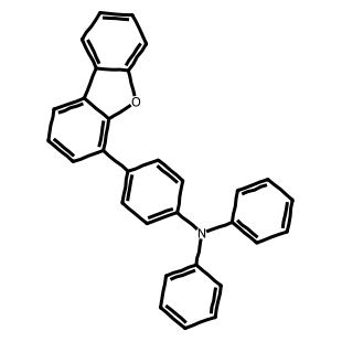 c1ccc(N(c2ccccc2)c2ccc(-c3cccc4c3oc3ccccc34)cc2)cc1